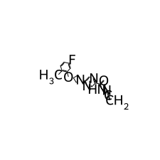 C=C=NNC(=O)c1cnc(N2CC(Oc3cc(F)ccc3C)C2)cn1